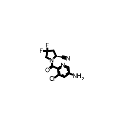 N#C[C@@H]1CC(F)(F)CN1C(=O)c1ncc(N)cc1Cl